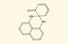 O=C1C=C=C=CC12Nc1cccc3cccc(c13)N2